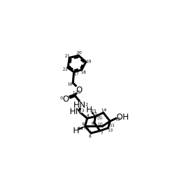 O=C(NNC1[C@H]2CC3C[C@H]1CC(O)(C3)C2)OCc1ccccc1